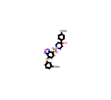 COc1ccc(C2(O)CCN(S(=O)(=O)c3ccc(Sc4cccc(OC)c4)c4nonc34)CC2)cc1